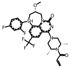 C=CC(=O)N1[C@H](C)CN(c2nc(=O)n3c4c(cc(C(F)(F)F)cc24)[SH](c2ccc(F)cc2F)C[C@H](OC)C3)C[C@@H]1C